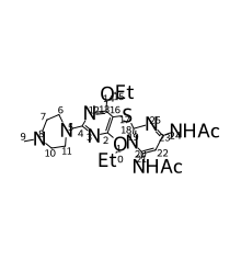 CCOc1nc(N2CCN(C)CC2)nc(OCC)c1Sc1nc(NC(C)=O)cc(NC(C)=O)n1